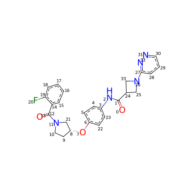 O=C(Nc1ccc(O[C@@H]2CCN(C(=O)c3ccccc3F)C2)cc1)C1CN(c2cccnn2)C1